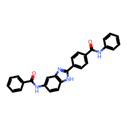 O=C(Nc1ccccc1)c1ccc(-c2nc3cc(NC(=O)c4ccccc4)ccc3[nH]2)cc1